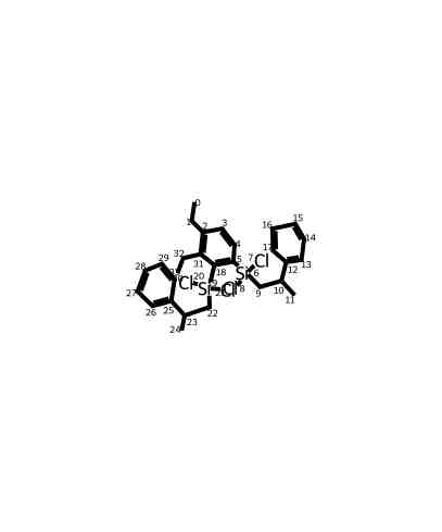 CCc1ccc([Si](Cl)(Cl)CC(C)c2ccccc2)c([Si](Cl)(Cl)CC(C)c2ccccc2)c1CC